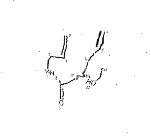 C=CCN.C=CCNC=O.CO